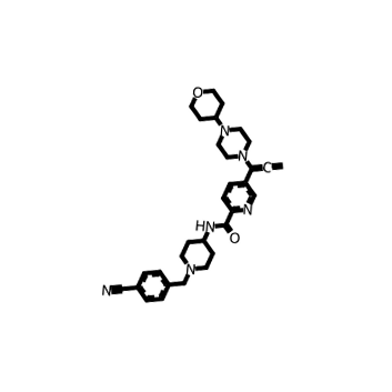 C=C=C(c1ccc(C(=O)NC2CCN(Cc3ccc(C#N)cc3)CC2)nc1)N1CCN(C2CCOCC2)CC1